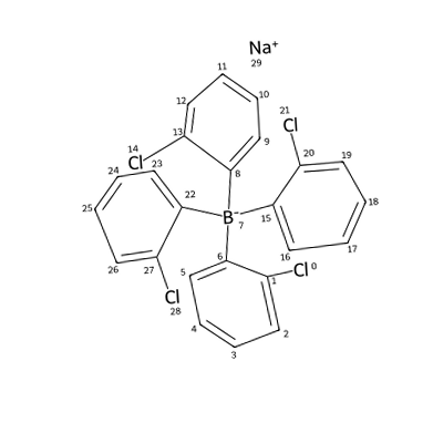 Clc1ccccc1[B-](c1ccccc1Cl)(c1ccccc1Cl)c1ccccc1Cl.[Na+]